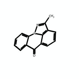 Cc1nn2c3ccccc3c(=O)c3cccc1c32